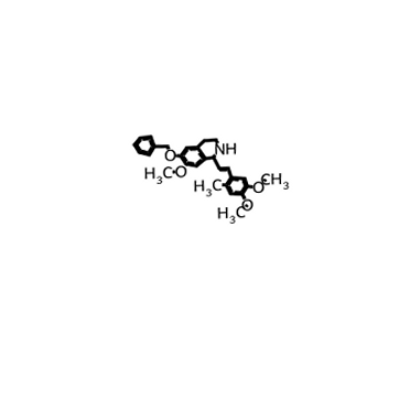 COc1cc(C)c(/C=C/C2NCCc3cc(OCc4ccccc4)c(OC)cc32)cc1OC